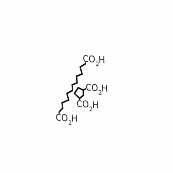 O=C(O)C1CCC(C(=O)O)C1.O=C(O)CCCCCCCCCCCCC(=O)O